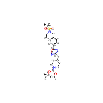 CC1(OC(=O)N2CCC(Cc3noc(-c4ccc5c(c4)CCN(S(C)(=O)=O)C5)n3)CC2)CC1